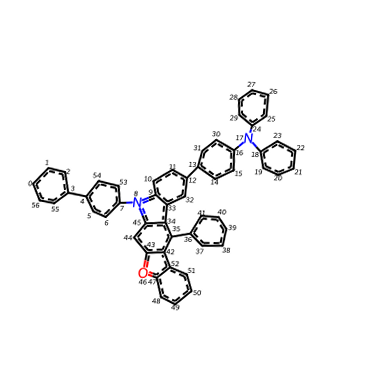 c1ccc(-c2ccc(-n3c4ccc(-c5ccc(N(c6ccccc6)c6ccccc6)cc5)cc4c4c(-c5ccccc5)c5c(cc43)oc3ccccc35)cc2)cc1